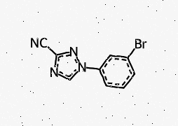 N#Cc1ncn(-c2cccc(Br)c2)n1